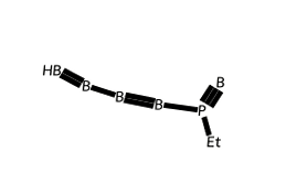 B#P(B=BB=B)CC